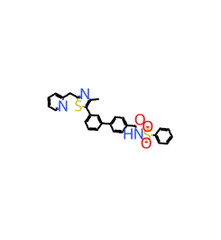 Cc1nc(Cc2ccccn2)sc1-c1cccc(-c2ccc(C(=O)NS(=O)(=O)c3ccccc3)cc2)c1